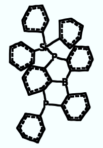 c1ccc(P2c3ccccc3B3c4ccccc4P([Si](c4ccccc4)(c4ccccc4)c4ccccc4)c4cccc2c43)cc1